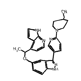 CC(Oc1ccc2[nH]nc(-c3ccc(N4CCC(C#N)CC4)nc3)c2c1)c1ccnc2[nH]ccc12